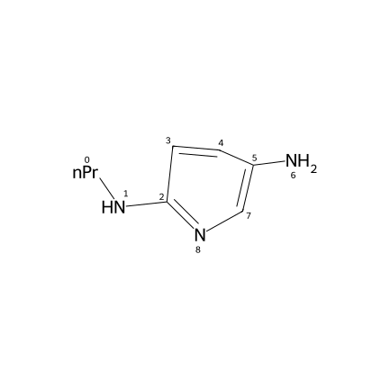 CCCNc1ccc(N)cn1